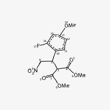 COC(=O)C(C(=O)OC)C(C[N+](=O)[O-])c1ccc(OC)cc1F